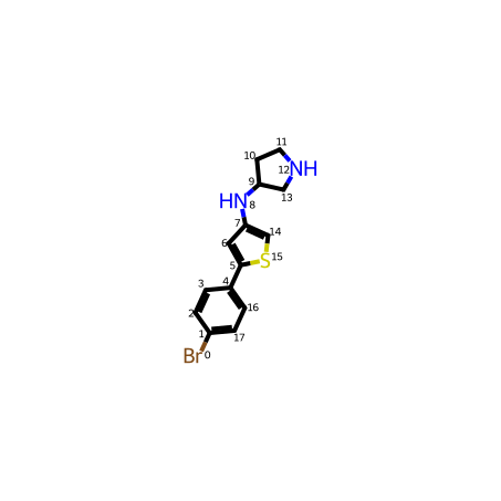 Brc1ccc(-c2cc(NC3CCNC3)cs2)cc1